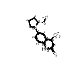 O=c1cc(C(F)(F)F)c2cc(N3CCC[C@@H]3CCl)ccc2[nH]1